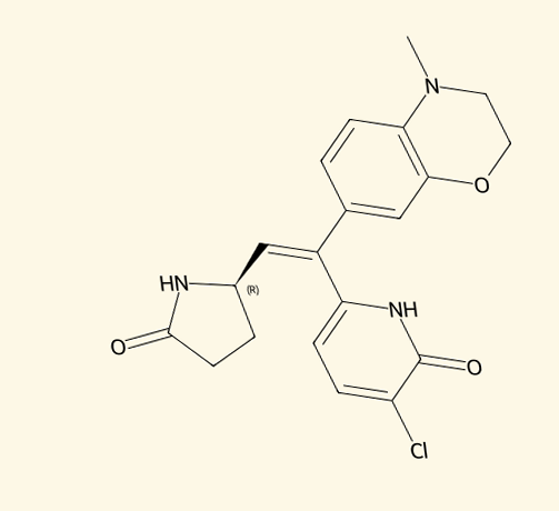 CN1CCOc2cc(C(=C[C@H]3CCC(=O)N3)c3ccc(Cl)c(=O)[nH]3)ccc21